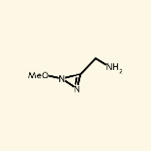 CON1N=C1CN